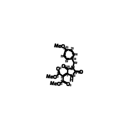 COC(=O)C(C(=O)OC)=C1NC(=O)N(Cc2ccc(OC)cc2)C1=O